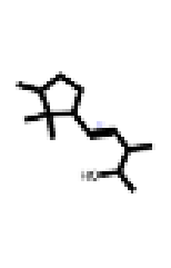 CC(O)C(C)/C=C/C1CCC(C)C1(C)C